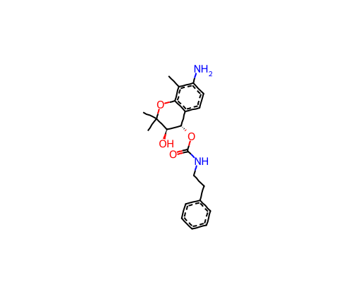 Cc1c(N)ccc2c1OC(C)(C)[C@H](O)[C@H]2OC(=O)NCCc1ccccc1